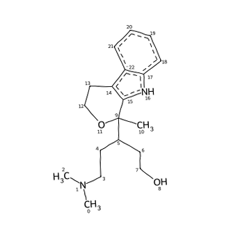 CN(C)CCC(CCO)C1(C)OCCc2c1[nH]c1ccccc21